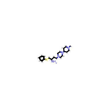 CN1CCC(N2CCN(CC[C@@H](N)CSc3ccccc3)CC2)CC1